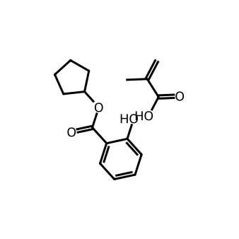 C=C(C)C(=O)O.O=C(OC1CCCC1)c1ccccc1O